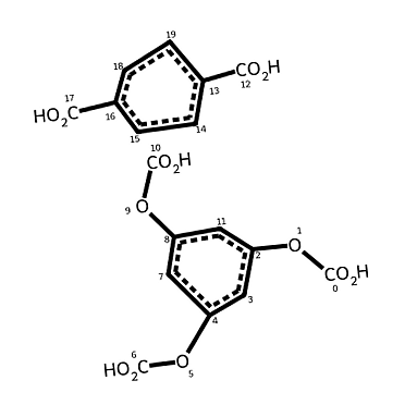 O=C(O)Oc1cc(OC(=O)O)cc(OC(=O)O)c1.O=C(O)c1ccc(C(=O)O)cc1